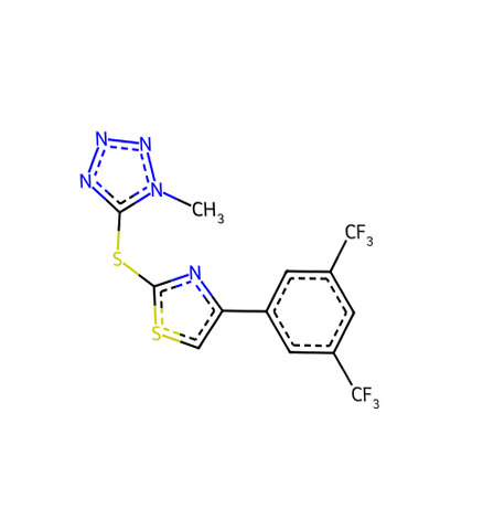 Cn1nnnc1Sc1nc(-c2cc(C(F)(F)F)cc(C(F)(F)F)c2)cs1